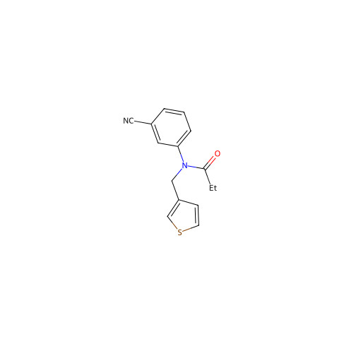 CCC(=O)N(Cc1ccsc1)c1cccc(C#N)c1